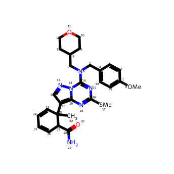 COc1ccc(CN(CC2CCOCC2)c2nc(SC)nc3c(C4(C)C=CC=CC4C(N)=O)cnn23)cc1